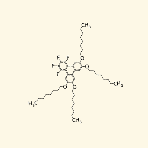 CCCCCCCCOc1cc2c3cc(OCCCCCCCC)c(OCCCCCCCC)cc3c3c(F)c(F)c(F)c(F)c3c2cc1OCCCCCCCC